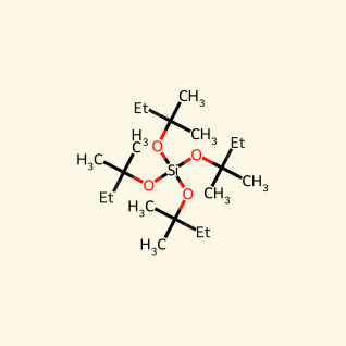 CCC(C)(C)O[Si](OC(C)(C)CC)(OC(C)(C)CC)OC(C)(C)CC